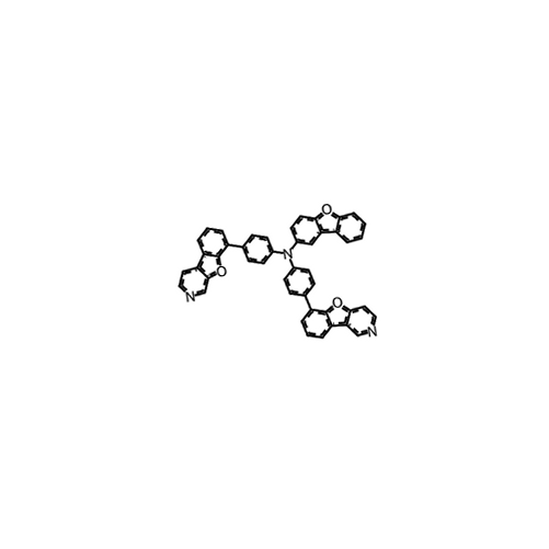 c1ccc2c(c1)oc1ccc(N(c3ccc(-c4cccc5c4oc4cnccc45)cc3)c3ccc(-c4cccc5c4oc4ccncc45)cc3)cc12